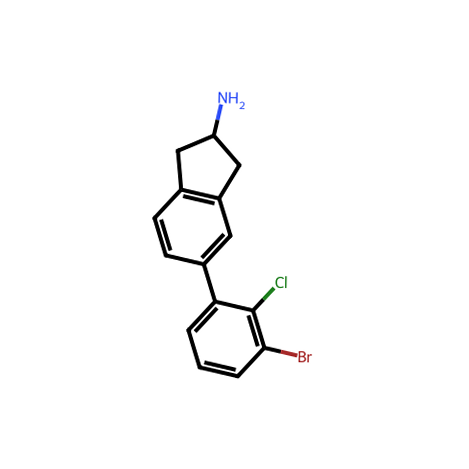 NC1Cc2ccc(-c3cccc(Br)c3Cl)cc2C1